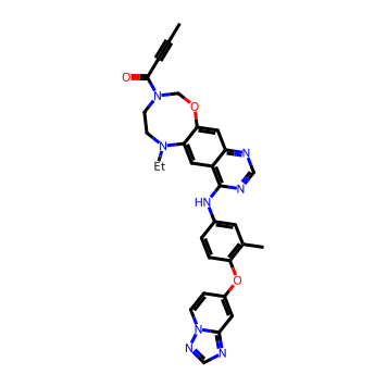 CC#CC(=O)N1CCN(CC)c2cc3c(Nc4ccc(Oc5ccn6ncnc6c5)c(C)c4)ncnc3cc2OC1